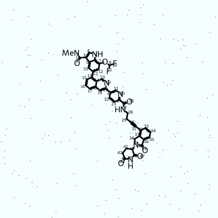 CNC(=O)c1c[nH]c2c(OC(F)F)cc(-c3cccc4cc(-c5ccc(C(=O)NCCC#Cc6cccc7c6CN(C6CCC(=O)NC6=O)C7=O)nc5)ncc34)cc12